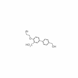 CC(C)CCOc1ccc(-c2ccc(CO)cc2)cc1C(=O)O